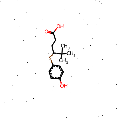 CC(C)(C)C(CCC(=O)O)Sc1ccc(O)cc1